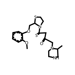 COc1ccccc1OCC1SCCN1C(=S)CC(=O)CN1CCNCC1C